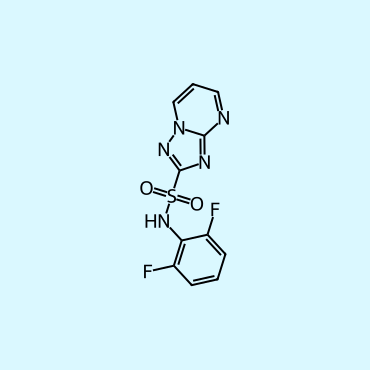 O=S(=O)(Nc1c(F)cccc1F)c1nc2ncccn2n1